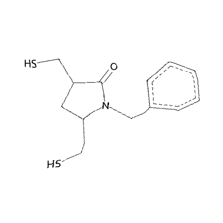 O=C1C(CS)CC(CS)N1Cc1ccccc1